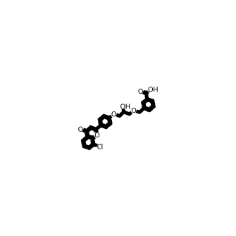 O=C(O)c1cccc(COCC(O)COc2ccc(-c3cc(=O)c4cccc(Cl)c4o3)cc2)c1